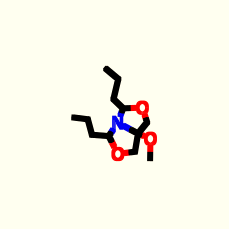 CCCC1OCC2(OC)COC(CCC)N12